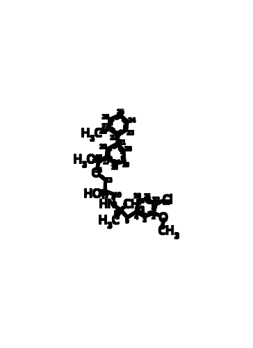 COc1cc(CC(C)(C)NC[C@@H](O)COC(C)c2cccc(-c3ccccc3C)c2)ccc1Cl